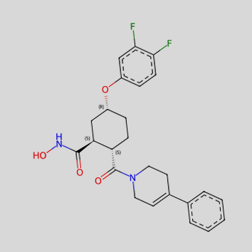 O=C(NO)[C@H]1C[C@H](Oc2ccc(F)c(F)c2)CC[C@@H]1C(=O)N1CC=C(c2ccccc2)CC1